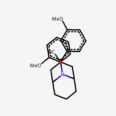 COc1cccc(C2(C#N)CC3CCCC(C2)N3c2ccccc2OC)c1